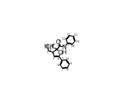 CCC1C=C(c2ccccc2)OC1(C)C(=O)Nc1ccccc1